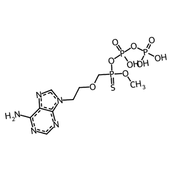 COP(=S)(COCCn1cnc2c(N)ncnc21)OP(=O)(O)OP(=O)(O)O